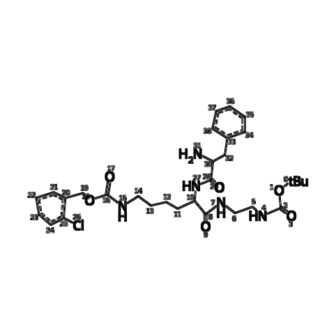 CC(C)(C)OC(=O)NCCNC(=O)C(CCCCNC(=O)OCc1ccccc1Cl)NC(=O)C(N)Cc1ccccc1